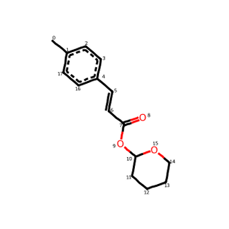 Cc1ccc(/C=C/C(=O)OC2CCCCO2)cc1